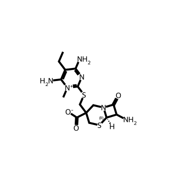 CCc1c(N)nc(SCC2(C(=O)[O-])CS[C@@H]3C(N)C(=O)N3C2)[n+](C)c1N